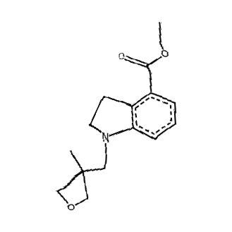 COC(=O)c1cccc2c1CCN2CC1(C)COC1